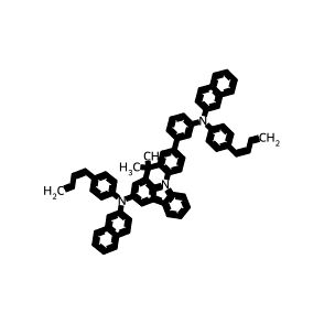 C=C/C=C\c1ccc(N(c2cccc(-c3ccc4c(c3)C(C)(C)c3cc(N(c5ccc(/C=C\C=C)cc5)c5ccc6ccccc6c5)cc5c6ccccc6n-4c35)c2)c2ccc3ccccc3c2)cc1